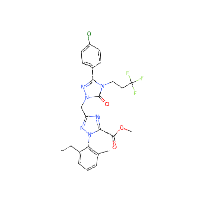 CCc1cccc(C)c1-n1nc(Cn2nc(-c3ccc(Cl)cc3)n(CCC(F)(F)F)c2=O)nc1C(=O)OC